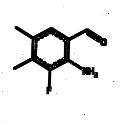 Cc1cc(C=O)c(N)c(F)c1C